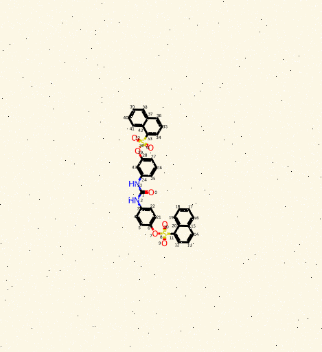 O=C(Nc1ccc(OS(=O)(=O)c2cccc3ccccc23)cc1)Nc1cccc(OS(=O)(=O)c2cccc3ccccc23)c1